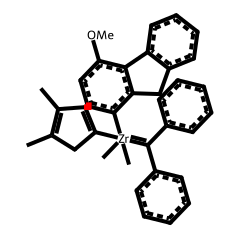 COc1cc[c]([Zr]([CH3])([CH3])([C]2=CC(C)=C(C)C2)=[C](c2ccccc2)c2ccccc2)c2c1-c1ccccc1C2